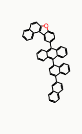 c1ccc2cc(-c3ccc(-c4c5ccccc5c(-c5ccc6oc7ccc8ccccc8c7c6c5)c5ccccc45)c4ccccc34)ccc2c1